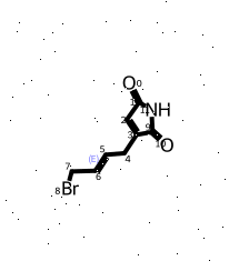 O=C1C=C(C/C=C/CBr)C(=O)N1